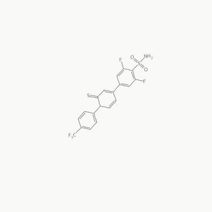 NS(=O)(=O)c1c(F)cc(C2=CC(=S)C(c3ccc(C(F)(F)F)cc3)C=C2)cc1F